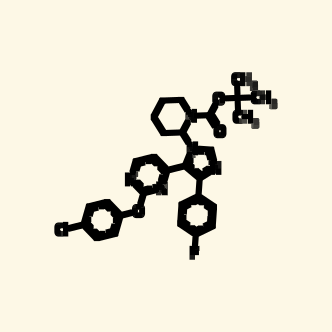 CC(C)(C)OC(=O)N1CCCCC1n1cnc(-c2ccc(F)cc2)c1-c1ccnc(Oc2ccc(Cl)cc2)n1